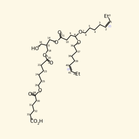 CC/C=C\CCCCOC(CCC(=O)OCC(CO)COC(=O)CCCCCOC(=O)CCCCC(=O)O)OCCCC/C=C\CC